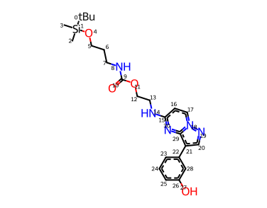 CC(C)(C)[Si](C)(C)OCCCNC(=O)OCCNc1ccn2ncc(-c3cccc(O)c3)c2n1